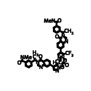 CNC(=O)c1cccc([C@@H](C)n2cnc3cc(-c4cnn(OP(C)(=O)On5ncc(-c6ccc7c(=O)n([C@H](C)c8cccc(C(=O)NC)c8)cnc7c6)c5C(F)(F)F)c4C(F)(F)F)ccc3c2=O)c1